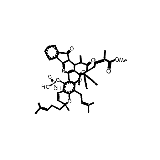 COC(=O)/C(C)=C\CC12OC(C)(C)C(C)C13Oc1c(CC=C(C)C)c4c(c(OP(=O)(O)O)c1C1=C3C(C(C)C2=O)C2C(=O)c3ccccc3C2=N1)C=CC(C)(CCC=C(C)C)O4